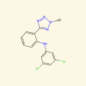 CCCn1nnc(-c2ccccc2Nc2cc(Cl)cc(Cl)c2)n1